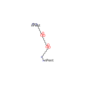 CCCCC/C=C\C/C=C\CCCCCCCC(=O)OC(=O)CCCCCCCC(=O)OC(=O)CCCCCCC/C=C\C/C=C\CCCCC